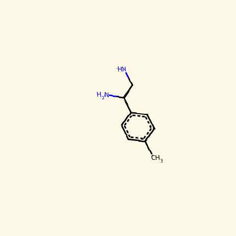 Cc1ccc(C(N)C[NH])cc1